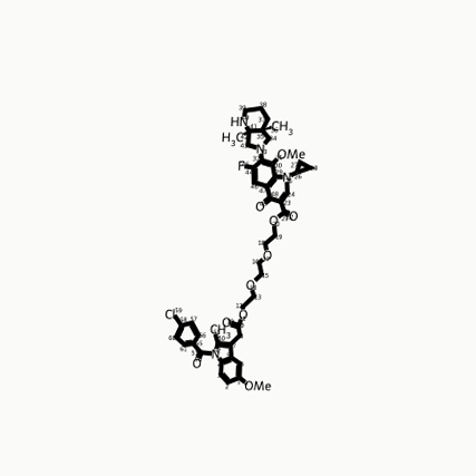 COc1ccc2c(c1)c(CC(=O)OCCOCCOCCOC(=O)c1cn(C3CC3)c3c(OC)c(N4C[C@@]5(C)CCCN[C@@]5(C)C4)c(F)cc3c1=O)c(C)n2C(=O)c1ccc(Cl)cc1